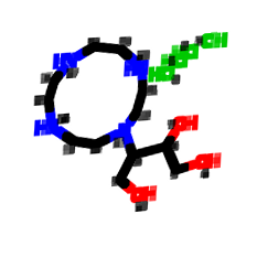 Cl.Cl.Cl.Cl.OCC(O)C(CO)N1CCNCCNCCNCC1